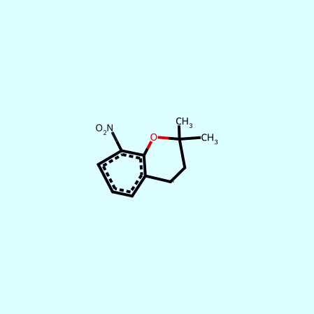 CC1(C)C[CH]c2cccc([N+](=O)[O-])c2O1